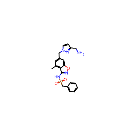 Cc1cc(Cn2ccc(CN)n2)cc2onc(NS(=O)(=O)Cc3ccccc3)c12